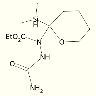 CCOC(=O)N(NC(N)=O)C1([SiH](C)C)CCCCO1